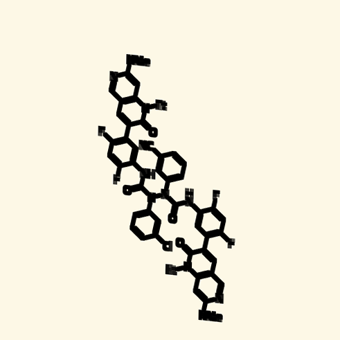 CCn1c(=O)c(-c2cc(NC(=O)N(c3cccc(Cl)c3)N(C(=O)Nc3cc(-c4cc5cnc(NC)cc5n(CC)c4=O)c(F)cc3F)c3cccc(C#N)c3)c(F)cc2F)cc2cnc(NC)cc21